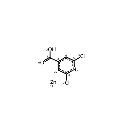 O=C(O)c1cc(Cl)nc(Cl)c1.[Zn]